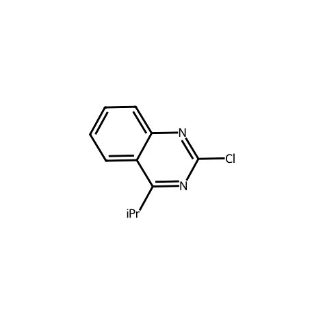 CC(C)c1nc(Cl)nc2ccccc12